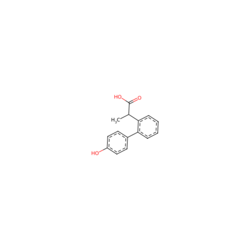 CC(C(=O)O)c1ccccc1-c1ccc(O)cc1